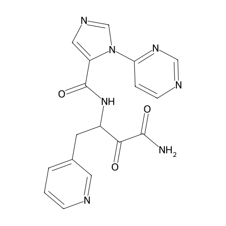 NC(=O)C(=O)C(Cc1cccnc1)NC(=O)c1cncn1-c1ccncn1